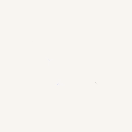 C=CCN1CCc2c([nH]c3ccc(OC)cc23)C1C(=O)O